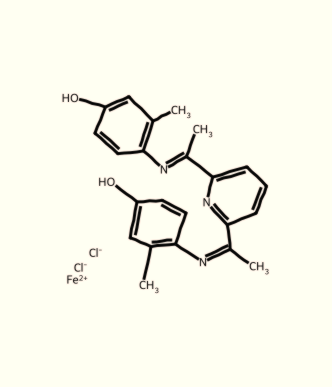 CC(=Nc1ccc(O)cc1C)c1cccc(C(C)=Nc2ccc(O)cc2C)n1.[Cl-].[Cl-].[Fe+2]